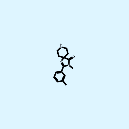 Cc1cccc(C2=NC3(CCNCC3)C(=O)N2C)c1